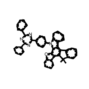 CC1(C)c2ccccc2-c2c1c1c3ccccc3oc1c1c2c2ccccc2n1-c1ccc(-c2nc(-c3ccccc3)nc(-c3ccccc3)n2)cc1